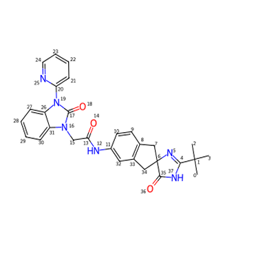 CC(C)(C)C1=NC2(Cc3ccc(NC(=O)Cn4c(=O)n(-c5ccccn5)c5ccccc54)cc3C2)C(=O)N1